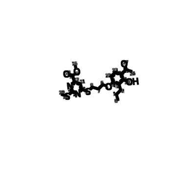 CCCc1c(OCCCSc2cc(C(=O)OC)nc(SC)n2)ccc(C(C)=O)c1O